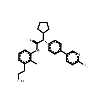 Cc1c(CCC(=O)O)cccc1NC(=O)[C@@H](c1ccc(-c2ccc(C(F)(F)F)nc2)cc1)C1CCCC1